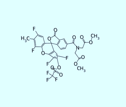 COC(=O)CN(CC(=O)OC)C(=O)c1ccc2c(c1)C(=O)OC21c2cc(F)c(C)c(F)c2Oc2c1cc(F)c(OS(=O)(=O)C(F)(F)F)c2F